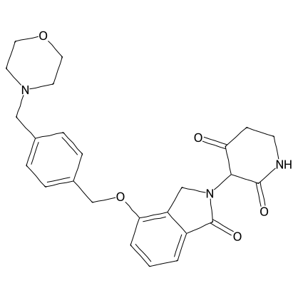 O=C1CCNC(=O)C1N1Cc2c(OCc3ccc(CN4CCOCC4)cc3)cccc2C1=O